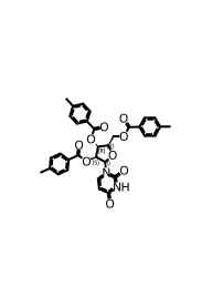 Cc1ccc(C(=O)OC[C@H]2O[C@@H](n3ccc(=O)[nH]c3=O)[C@@H](OC(=O)c3ccc(C)cc3)[C@@H]2OC(=O)c2ccc(C)cc2)cc1